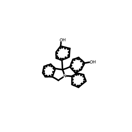 Oc1ccc(C2(c3ccc(O)cc3)c3ccccc3CN2c2ccccc2)cc1